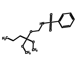 CCC[Si](OC)(OC)OCNS(=O)(=O)c1ccccc1